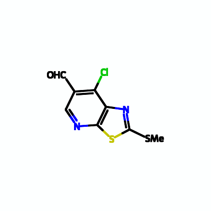 CSc1nc2c(Cl)c(C=O)cnc2s1